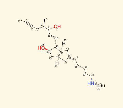 CC#CC[C@@H](C)[C@H](O)/C=C/[C@@H]1[C@H]2C/C(=C/CCCCNCCCC)C[C@H]2C[C@H]1O